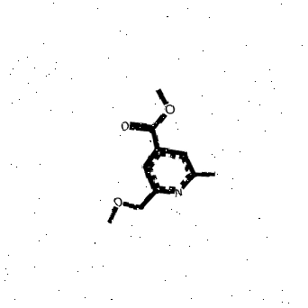 COCc1cc(C(=O)OC)cc(C)n1